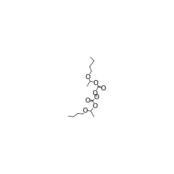 CCCCOC(C)OC(=O)OOC(=O)OC(C)OCCCC